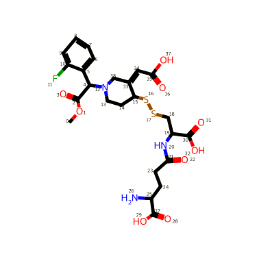 COC(=O)C(c1ccccc1F)N1CCC(SSCC(NC(=O)CCC(N)C(=O)O)C(=O)O)/C(=C\C(=O)O)C1